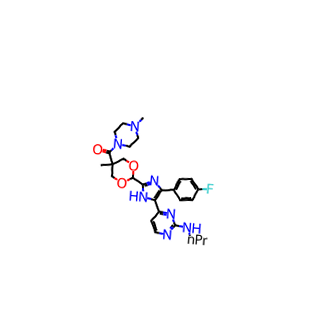 CCCNc1nccc(-c2[nH]c(C3OCC(C)(C(=O)N4CCN(C)CC4)CO3)nc2-c2ccc(F)cc2)n1